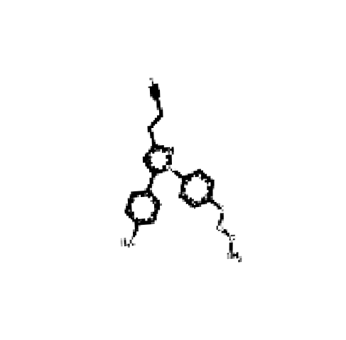 Cc1ccc(-c2cc(CCC#N)nn2-c2ccc(SOON)cc2)cc1